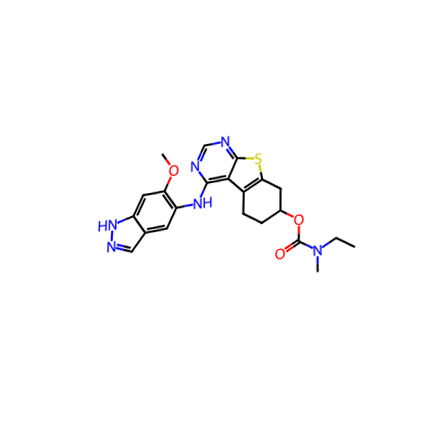 CCN(C)C(=O)OC1CCc2c(sc3ncnc(Nc4cc5cn[nH]c5cc4OC)c23)C1